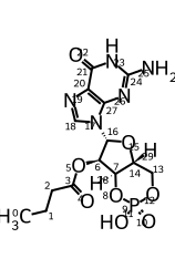 CCCC(=O)O[C@@H]1[C@@H]2OP(=O)(O)OC[C@H]2O[C@H]1n1cnc2c(=O)[nH]c(N)nc21